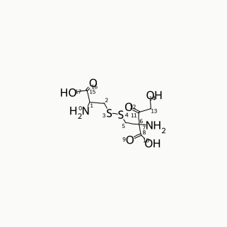 NC(CSSCC(N)(C(=O)O)C(=O)CO)C(=O)O